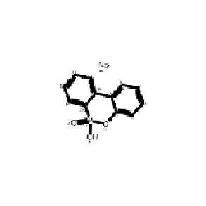 O=P1(O)Oc2ccccc2-c2ccccc21.[Na]